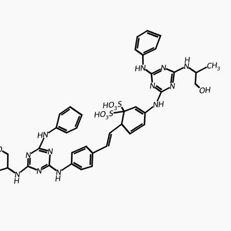 CC(CO)Nc1nc(NC2=CC(S(=O)(=O)O)(S(=O)(=O)O)C(C=Cc3ccc(Nc4nc(Nc5ccccc5)nc(NC(C)CO)n4)cc3)C=C2)nc(Nc2ccccc2)n1